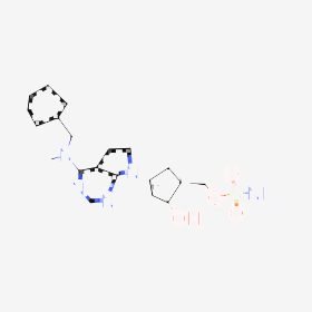 CN(Cc1ccccc1)c1ncnc2c1ccn2[C@@H]1C[C@@H](COS(N)(=O)=O)[C@@H](O)C1